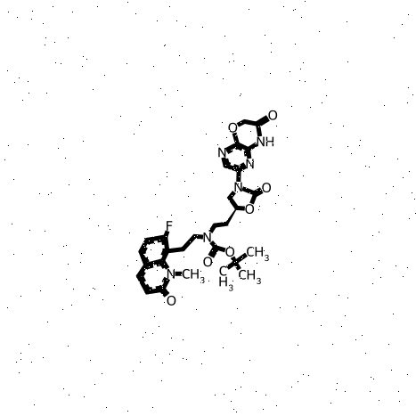 Cn1c(=O)ccc2ccc(F)c(CCN(CC[C@H]3CN(c4cnc5c(n4)NC(=O)CO5)C(=O)O3)C(=O)OC(C)(C)C)c21